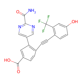 NC(=O)c1ncc(-c2cc(C(=O)O)ccc2C#Cc2ccc(O)cc2C(F)(F)F)cn1